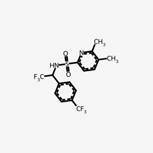 Cc1ccc(S(=O)(=O)NC(c2ccc(C(F)(F)F)cc2)C(F)(F)F)nc1C